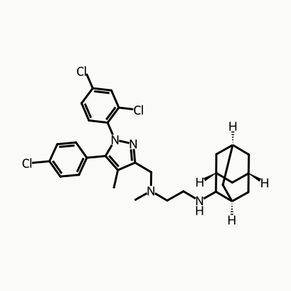 Cc1c(CN(C)CCNC2[C@H]3C[C@@H]4C[C@@H](C[C@H]2C4)C3)nn(-c2ccc(Cl)cc2Cl)c1-c1ccc(Cl)cc1